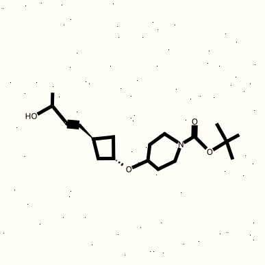 CC(O)C#C[C@H]1C[C@H](OC2CCN(C(=O)OC(C)(C)C)CC2)C1